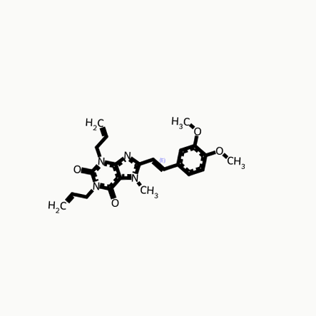 C=CCn1c(=O)c2c(nc(/C=C/c3ccc(OC)c(OC)c3)n2C)n(CC=C)c1=O